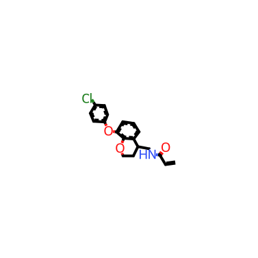 C=CC(=O)NCC1CCOc2c(Oc3ccc(Cl)cc3)cccc21